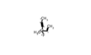 C=C[Si](C)(F)C#CC